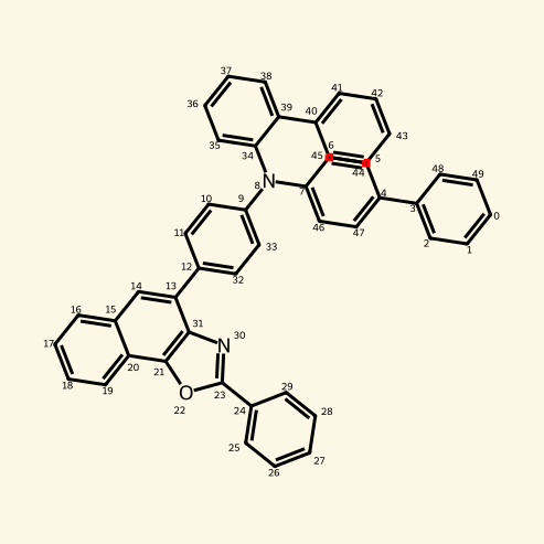 c1ccc(-c2ccc(N(c3ccc(-c4cc5ccccc5c5oc(-c6ccccc6)nc45)cc3)c3ccccc3-c3ccccc3)cc2)cc1